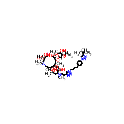 CO[C@]1(C)C[C@H](O[C@H]2[C@H](C)[C@@H](O[C@@H]3O[C@H](C)C[C@H](N(C)CCc4cn(CCCCc5ccc(-n6cc(C(C)(C)C)nn6)cc5)nn4)[C@H]3O)[C@](C)(O)C[C@@H](C)CN(C)[C@H](C)[C@@H](O)[C@](C)(O)[C@@H](I)OC(=O)[C@@H]2C)O[C@@H](C)[C@@H]1O